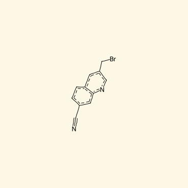 N#Cc1ccc2cc(CBr)cnc2c1